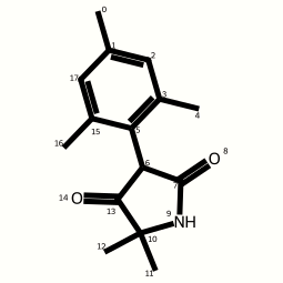 Cc1cc(C)c(C2C(=O)NC(C)(C)C2=O)c(C)c1